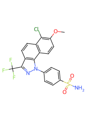 COc1ccc2c(ccc3c(C(F)(F)F)nn(-c4ccc(S(N)(=O)=O)cc4)c32)c1Cl